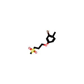 Cc1ccc(OCCCS(C)(=O)=O)cc1Br